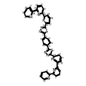 c1ccc(-c2cccc(-c3cccc(-c4nnc(-c5ccc(-c6nnc(-c7cccc(-c8cccc(-c9ccccn9)n8)n7)s6)cc5)s4)n3)n2)nc1